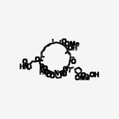 CO[C@@H]1C[C@H](C[C@@H](C)[C@@H]2CC(=O)[C@H](C)/C=C(\C)[C@@H](O)[C@@H](OC)C(=O)[C@H](C)C[C@H](C)/C=C/C=C/C=C(\C)C(OCCC3CCNC3=O)C[C@@H]3CC[C@@H](C)[C@@](O)(O3)C(=O)C(=O)N3CCCC[C@H]3C(=O)O2)CC[C@H]1OCCO